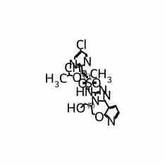 CC(C)O[C@@H](c1ncc(Cl)cn1)[C@H](C)S(=O)(=O)Nc1nnc2n1[C@H](CO)COc1ncccc1-2